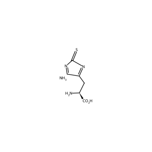 N.N[C@@H](CC1=NC(=S)N=C1)C(=O)O